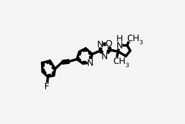 CC1CCC(C)(c2nc(-c3ccc(C#Cc4cccc(F)c4)cn3)no2)N1